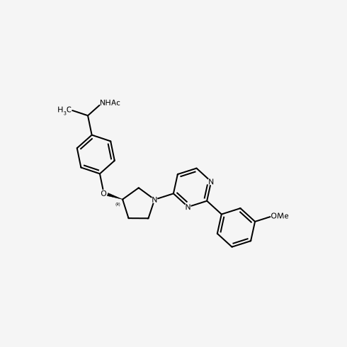 COc1cccc(-c2nccc(N3CC[C@@H](Oc4ccc(C(C)NC(C)=O)cc4)C3)n2)c1